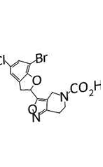 O=C(O)N1CCc2noc(C3Cc4cc(Cl)cc(Br)c4O3)c2C1